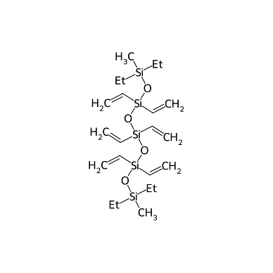 C=C[Si](C=C)(O[Si](C)(CC)CC)O[Si](C=C)(C=C)O[Si](C=C)(C=C)O[Si](C)(CC)CC